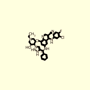 CCN1CCC(N2C=C([C@@H](Nc3cc(Cl)c4ncc(C#N)c(Nc5ccc(F)c(Cl)c5)c4c3)c3ccccc3)NN2)[C@H](O)C1